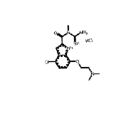 CN(C)CCOc1ccc(Cl)c2cc(C(=O)N(C)C(=N)N)[nH]c12.Cl